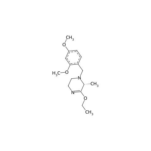 CCOC1=NCCN(Cc2ccc(OC)cc2OC)[C@@H]1C